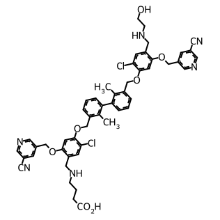 Cc1c(COc2cc(OCc3cncc(C#N)c3)c(CNCCO)cc2Cl)cccc1-c1cccc(COc2cc(OCc3cncc(C#N)c3)c(CNCCCC(=O)O)cc2Cl)c1C